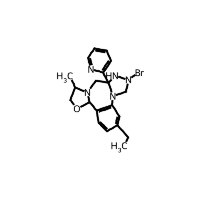 CCc1ccc2c(c1)N1CN(Br)NC1(c1ccccn1)CN1C(C)COC21